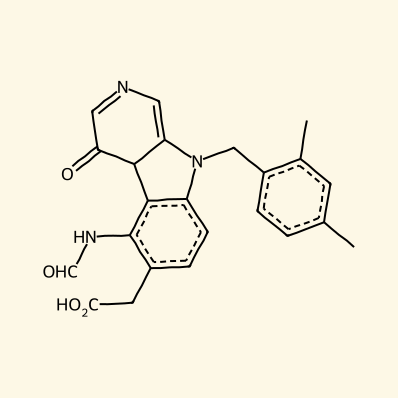 Cc1ccc(CN2C3=CN=CC(=O)C3c3c2ccc(CC(=O)O)c3NC=O)c(C)c1